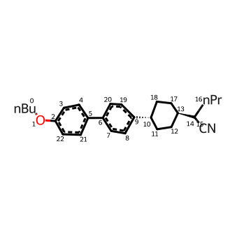 CCCCOc1ccc(-c2ccc([C@H]3CC[C@H](C(C#N)CCC)CC3)cc2)cc1